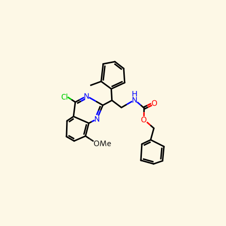 COc1cccc2c(Cl)nc(C(CNC(=O)OCc3ccccc3)c3ccccc3C)nc12